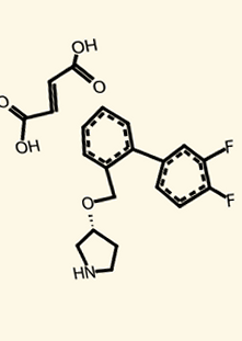 Fc1ccc(-c2ccccc2CO[C@@H]2CCNC2)cc1F.O=C(O)C=CC(=O)O